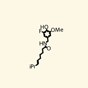 COc1cc(CNC(=O)CCCCC=CC(C)C)cc(F)c1O